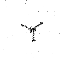 O=c1n(CCCCCCCCC2CO2)c(=O)n(CCCCCCCCC2CO2)c(=O)n1CCCCCCCCC1CO1